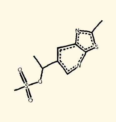 Cc1nc2cc(C(C)OS(C)(=O)=O)cnc2s1